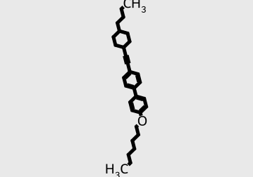 CCCCCCCOc1ccc(-c2ccc(C#CC3CCC(CCCC)CC3)cc2)cc1